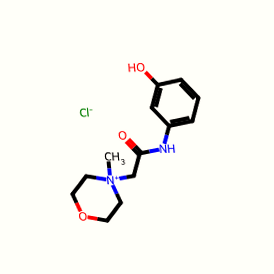 C[N+]1(CC(=O)Nc2cccc(O)c2)CCOCC1.[Cl-]